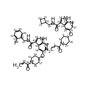 C=CC(=O)N1CCC(Oc2cnc3[nH]cc(C(=O)NCC4CCC4)c3c2)CC1.C=CC(=O)N1CCC(Oc2cnc3[nH]cc(C(=O)NCc4ccccc4F)c3c2)CC1